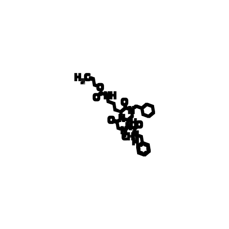 C=CCOC(=O)NCCC[C@H]1C(=O)N(CC2CCCCC2)C[C@H]2N1C(=O)CN(C)N2C(=O)NCc1ccccc1